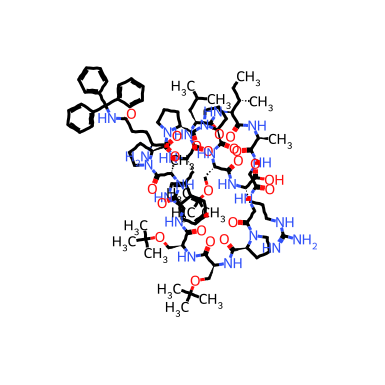 CC[C@H](C)[C@H](NC(=O)[C@H](CC(C)C)NC(=O)[C@H](Cc1c[nH]c2ccccc12)NC(=O)[C@@H](N)CCC(=O)NC(c1ccccc1)(c1ccccc1)c1ccccc1)C(=O)N[C@@H](C)C(=O)NCC(=O)NCC(=O)N1CCC[C@H]1C(=O)N[C@@H](COC(C)(C)C)C(=O)N[C@@H](COC(C)(C)C)C(=O)NCC(=O)N[C@@H](C)C(=O)N1CCC[C@H]1C(=O)N1CCC[C@H]1C(=O)N1CCC[C@H]1C(=O)N[C@@H](COC(C)(C)C)C(=O)N[C@@H](CCCNC(=N)N)C(=O)O